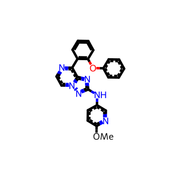 COc1ccc(Nc2nc3c(C4=C(Oc5ccccc5)C=C=C=C4)nccn3n2)cn1